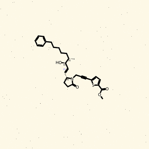 COC(=O)c1ccc(C#CCN2C(=O)CC[C@@H]2/C=C/[C@@H](O)[C@@H](C)CCCCCc2ccccc2)s1